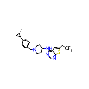 C[C@H]1C[C@@H]1c1ccc(CN2CCC(Nc3ncnc4sc(CC(F)(F)F)cc34)CC2)cc1